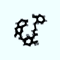 Cc1cc2c(cc1Nc1ncc(C(F)(F)F)c(NCCCN3CCCCC3=O)n1)CNCC2